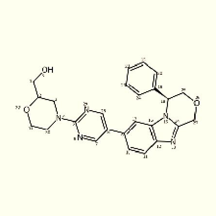 OCC1CN(c2ncc(-c3ccc4nc5n(c4c3)[C@@H](c3ccccc3)COC5)cn2)CCO1